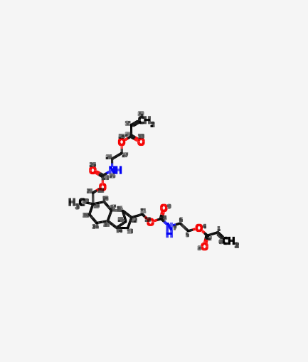 C=CC(=O)OCCNC(=O)OCC1CC2CC1C1CC(C)(COC(=O)NCCOC(=O)C=C)CCC21